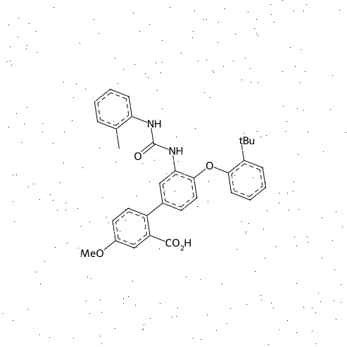 COc1ccc(-c2ccc(Oc3ccccc3C(C)(C)C)c(NC(=O)Nc3ccccc3C)c2)c(C(=O)O)c1